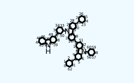 c1ccc(-c2ccc3c(c2)c2cc(-c4ccc5c(c4)c4cc(-c6ccccc6)ccc4n5-c4cccc(-c5ccc6[nH]c7ccccc7c6c5)c4)ccc2n3-c2ccccc2)cc1